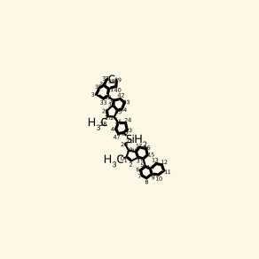 CC1=Cc2c(-c3cccc4ccccc34)cccc2C1C[SiH2]c1ccc(C2C(C)=Cc3c(-c4cccc5ccccc45)cccc32)cc1